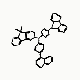 CC1(C)c2ccccc2-c2cc(N(c3ccc(-c4cccc5ccccc45)cc3)c3ccc(N4c5ccccc5C5C=CC=CC54)cc3)ccc21